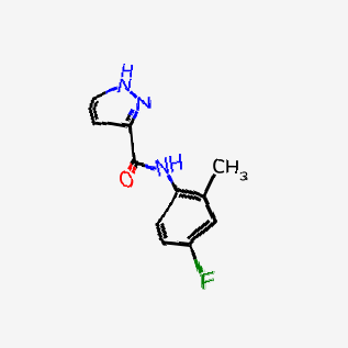 Cc1cc(F)ccc1NC(=O)c1cc[nH]n1